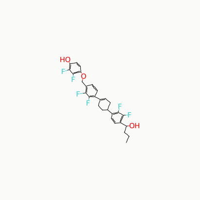 CCCC(O)c1ccc(C2CC=C(c3ccc(COc4ccc(O)c(F)c4F)c(F)c3F)CC2)c(F)c1F